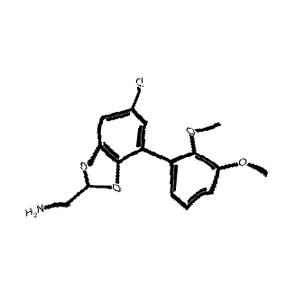 COc1cccc(-c2cc(Cl)cc3c2OC(CN)O3)c1OC